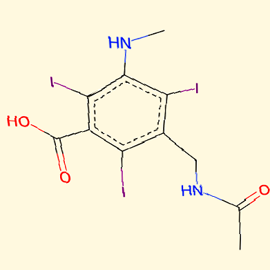 CNc1c(I)c(CNC(C)=O)c(I)c(C(=O)O)c1I